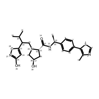 Cc1ncsc1-c1ccc([C@H](C)NC(=O)[C@@H]2C[C@@H](O)CN2CC(c2cc(O)no2)C(C)C)cc1